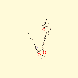 CCCCCC/C=C/[C@@H]1OC(C)(C)O[C@H]1C#CC#C[C@H](CC)O[Si](C)(C)C(C)(C)C